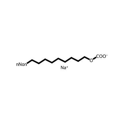 CCCCCCCCCCCCCCCCCCOC(=O)[O-].[Na+]